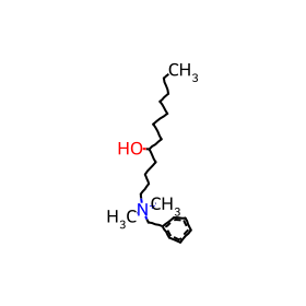 CCCCCCCC(O)CCCC[N+](C)(C)Cc1ccccc1